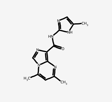 Cc1cc(C)n2cnc(C(=O)Nc3ncc(C)[nH]3)c2n1